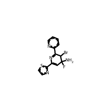 NC1(F)C=C(c2nccs2)N=C(c2ccccn2)C1Br